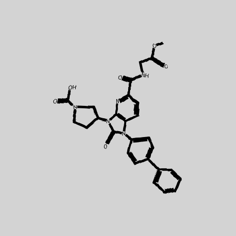 COC(=O)CNC(=O)c1ccc2c(n1)n(C1CCN(C(=O)O)C1)c(=O)n2-c1ccc(-c2ccccc2)cc1